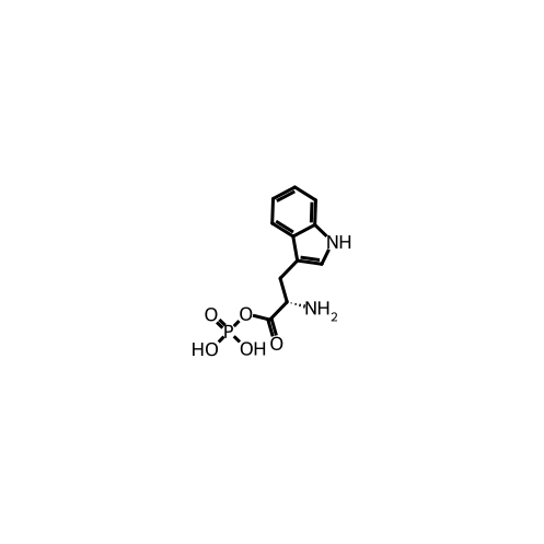 N[C@@H](Cc1c[nH]c2ccccc12)C(=O)OP(=O)(O)O